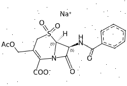 CC(=O)OCC1=C(C(=O)[O-])N2C(=O)[C@H](NC(=O)c3ccccc3)[C@@H]2S(=O)(=O)C1.[Na+]